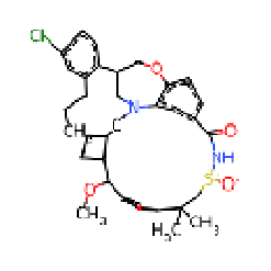 CCCc1cc(Cl)ccc1C1COc2ccc3cc2N(C1)CC1CCC1C(OC)C1=CC(C1)C(C)(C)C[S+]([O-])NC3=O